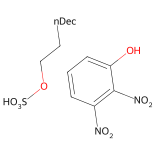 CCCCCCCCCCCCOS(=O)(=O)O.O=[N+]([O-])c1cccc(O)c1[N+](=O)[O-]